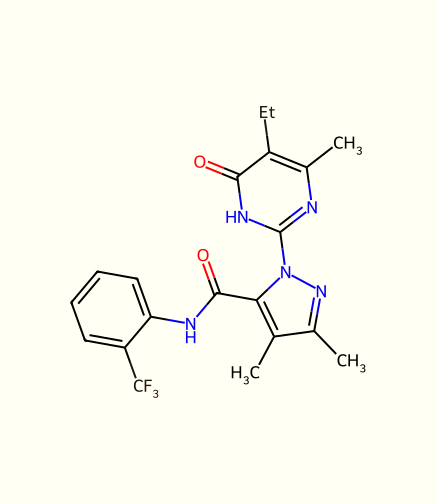 CCc1c(C)nc(-n2nc(C)c(C)c2C(=O)Nc2ccccc2C(F)(F)F)[nH]c1=O